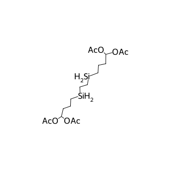 CC(=O)OC(CCC[SiH2]CC[SiH2]CCCC(OC(C)=O)OC(C)=O)OC(C)=O